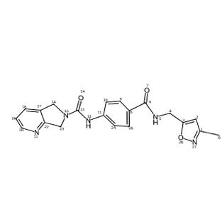 Cc1cc(CNC(=O)c2ccc(NC(=O)N3Cc4cccnc4C3)cc2)on1